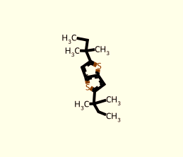 CCC(C)(C)c1cc2sc(C(C)(C)CC)cc2s1